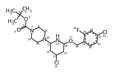 CC(C)(C)OC(=O)N1CCN(C2CC(Cl)CC(OCc3ccc(Cl)cc3F)N2)CC1